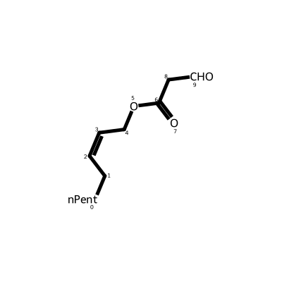 CCCCCC/C=C\COC(=O)CC=O